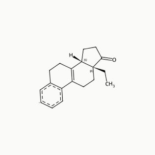 CC[C@@]12CCC3=C(CCc4c[c]ccc43)[C@@H]1CCC2=O